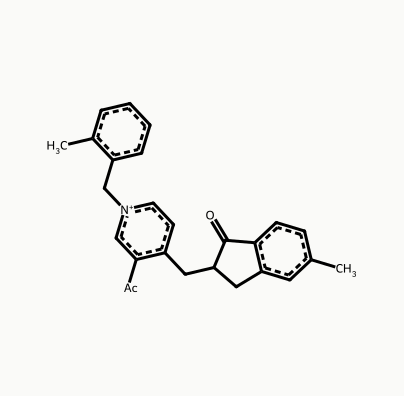 CC(=O)c1c[n+](Cc2ccccc2C)ccc1CC1Cc2cc(C)ccc2C1=O